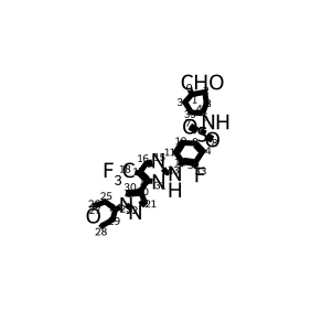 O=CC1CCC(NS(=O)(=O)c2ccc(Nc3ncc(C(F)(F)F)c(-c4cnn(C5CCOCC5)c4)n3)c(F)c2)CC1